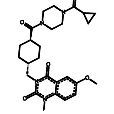 COc1ccc2c(c1)c(=O)n(C[C@H]1CC[C@H](C(=O)N3CCN(C(=O)C4CC4)CC3)CC1)c(=O)n2C